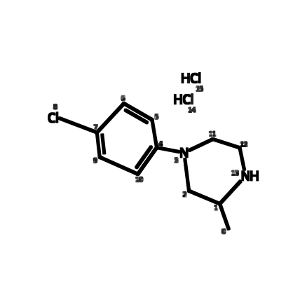 CC1CN(c2ccc(Cl)cc2)CCN1.Cl.Cl